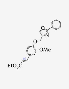 CCOC(=O)/C=C/c1ccc(OCc2coc(-c3ccccc3)n2)c(OC)c1